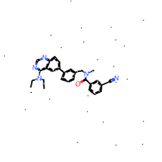 CCN(CC)c1ncnc2ccc(-c3cccc(CN(C)C(=O)c4cccc(C#N)c4)c3)cc12